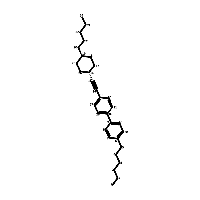 CCCCCCc1ccc(-c2ccc(C#C[C@H]3CC[C@H](CCCCC)CC3)cc2)cc1